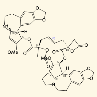 COC1=C[C@]23CCCN2CCc2cc4c(cc2[C@@H]3[C@@H]1OC(=O)[C@@]1(C/C=C/C[C@]2(C(=O)O[C@@H]3C(OC)=C[C@]56CCCN5CCc5cc7c(cc5[C@H]36)OCO7)CC(=O)O2)CC(=O)O1)OCO4